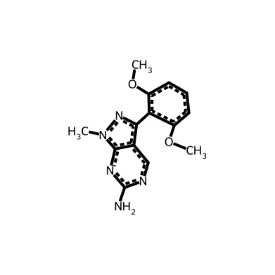 COc1cccc(OC)c1-c1nn(C)c2nc(N)ncc12